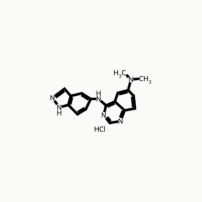 CN(C)c1ccc2ncnc(Nc3ccc4[nH]ncc4c3)c2c1.Cl